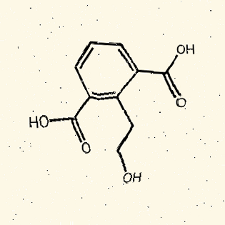 O=C(O)c1cccc(C(=O)O)c1CCO